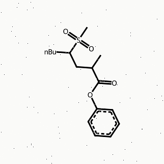 CCCCC(CC(C)C(=O)Oc1ccccc1)S(C)(=O)=O